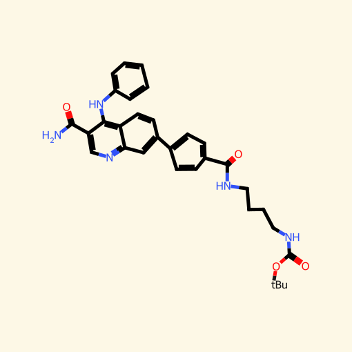 CC(C)(C)OC(=O)NCCCCNC(=O)c1ccc(-c2ccc3c(Nc4ccccc4)c(C(N)=O)cnc3c2)cc1